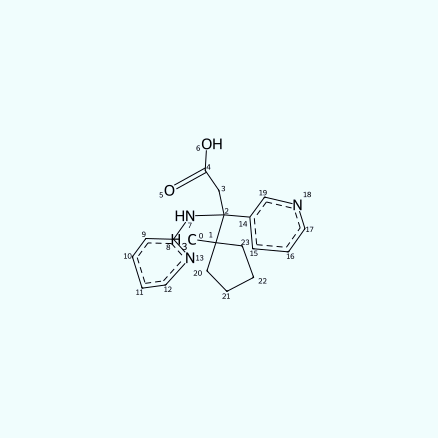 CC1(C(CC(=O)O)(Nc2ccccn2)c2cccnc2)CCCC1